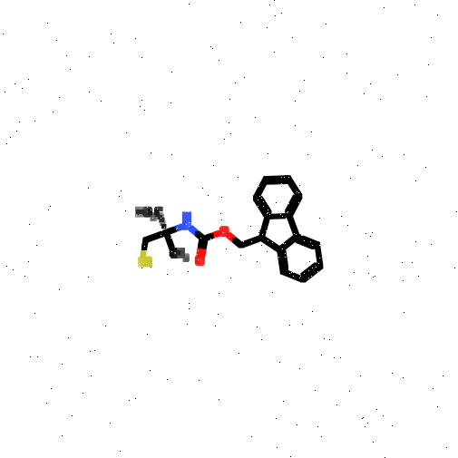 C[C@@](CS)(NC(=O)OCC1c2ccccc2-c2ccccc21)C(=O)O